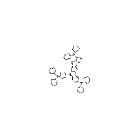 c1ccc(N(c2ccccc2)c2ccc(-n3c4ccc(N(c5ccccc5)c5ccccc5)cc4c4cc5c(cc43)sc3c(N(c4ccccc4)c4ccccc4)cccc35)cc2)cc1